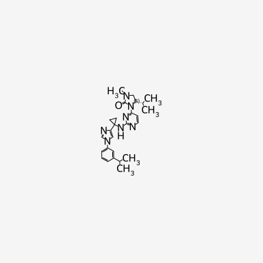 CC(C)c1cccc(-n2cnc(C3(Nc4nccc(N5C(=O)N(C)C[C@@H]5C(C)C)n4)CC3)c2)c1